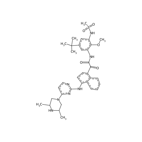 COc1c(NC(=O)C(=O)c2ccc(Nc3nccc(N4CC(C)NC(C)C4)n3)c3ccccc23)cc(C(C)(C)C)cc1NS(C)(=O)=O